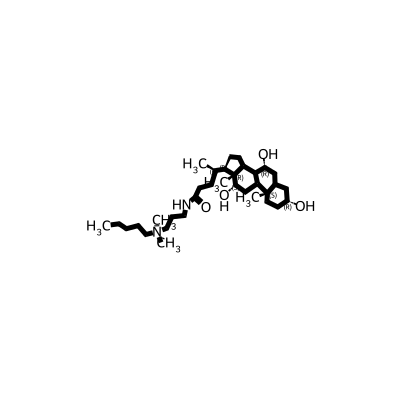 CCCCC[N+](C)(C)CCCNC(=O)CC[C@@H](C)[C@H]1CCC2C3C(C[C@H](O)[C@@]21C)[C@@]1(C)CC[C@@H](O)CC1C[C@H]3O